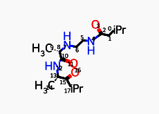 CC(C)CC(=O)NCCN[C@@H](C)C(=O)N[C@@H](C)C(=O)C(C)C